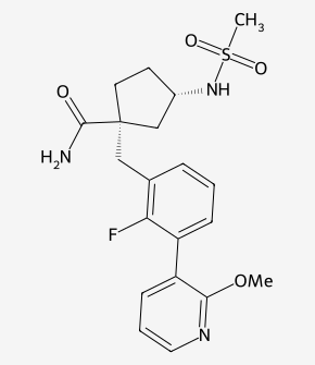 COc1ncccc1-c1cccc(C[C@]2(C(N)=O)CC[C@H](NS(C)(=O)=O)C2)c1F